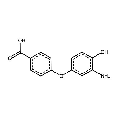 Nc1cc(Oc2ccc(C(=O)O)cc2)ccc1O